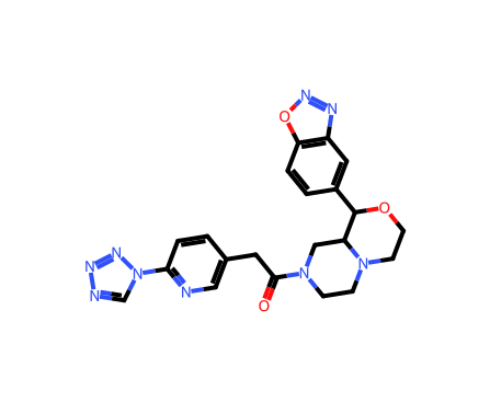 O=C(Cc1ccc(-n2cnnn2)nc1)N1CCN2CCOC(c3ccc4onnc4c3)C2C1